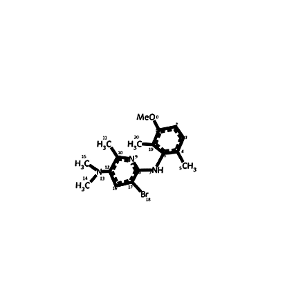 COc1ccc(C)c(Nc2nc(C)c(N(C)C)cc2Br)c1C